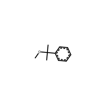 COC(C)(C)c1[c]cccc1